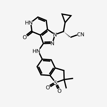 CC1(C)Cc2cc(Nc3nn([C@@H](CC#N)C4CC4)c4cc[nH]c(=O)c34)ccc2S1(=O)=O